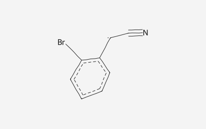 N#C[CH]c1ccccc1Br